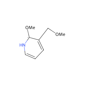 COCC1=CC=CN[C]1OC